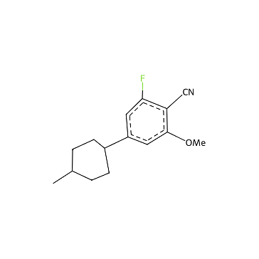 COc1cc(C2CCC(C)CC2)cc(F)c1C#N